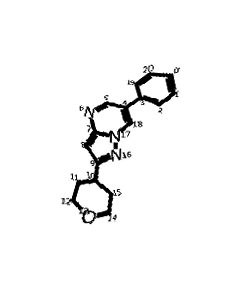 c1ccc(-c2cnc3cc(C4CCOCC4)nn3c2)cc1